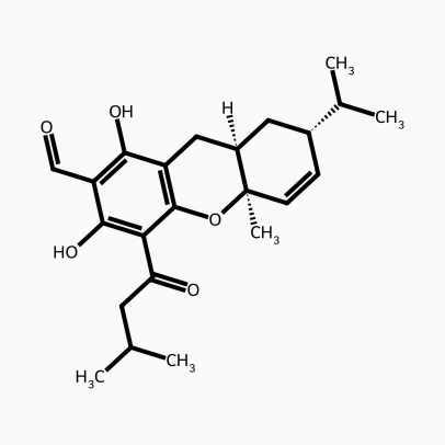 CC(C)CC(=O)c1c(O)c(C=O)c(O)c2c1O[C@]1(C)C=C[C@@H](C(C)C)C[C@@H]1C2